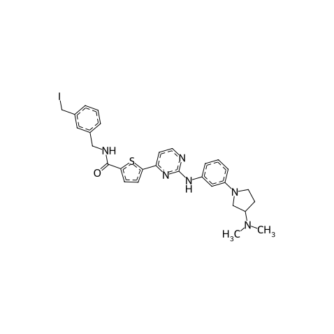 CN(C)C1CCN(c2cccc(Nc3nccc(-c4ccc(C(=O)NCc5cccc(CI)c5)s4)n3)c2)C1